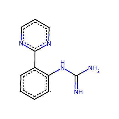 N=C(N)Nc1[c]cccc1-c1ncccn1